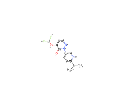 CC(C)c1ccc(-n2nccc(OC(F)F)c2=O)cn1